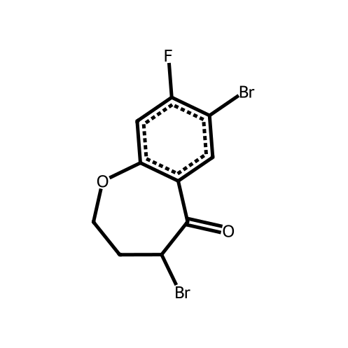 O=C1c2cc(Br)c(F)cc2OCCC1Br